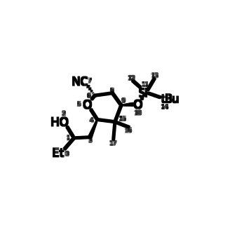 CCC(O)C[C@H]1O[C@H](C#N)C[C@@H](O[Si](C)(C)C(C)(C)C)C1(C)C